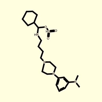 CN(C)c1cccc(N2CCN(CCCCNC(O[SH](=O)=O)C3CCCCC3)CC2)c1